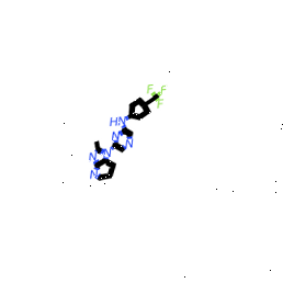 Cc1nc2ncccc2n1-c1cncc(Nc2ccc(C(F)(F)F)cc2)n1